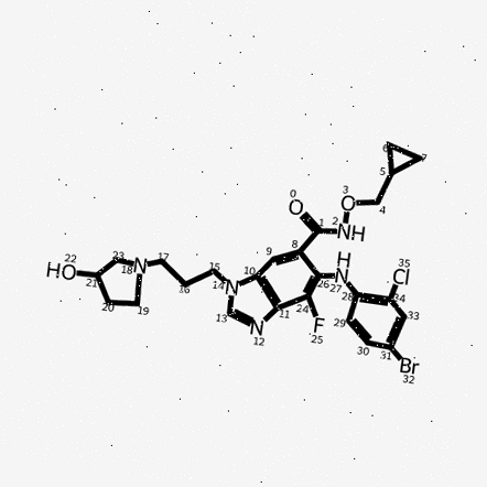 O=C(NOCC1CC1)c1cc2c(ncn2CCCN2CCC(O)C2)c(F)c1Nc1ccc(Br)cc1Cl